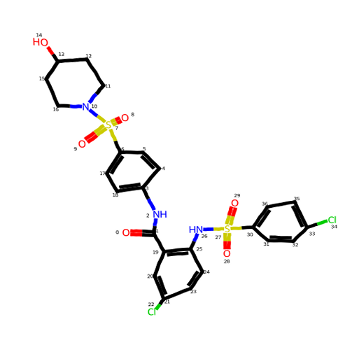 O=C(Nc1ccc(S(=O)(=O)N2CCC(O)CC2)cc1)c1cc(Cl)ccc1NS(=O)(=O)c1ccc(Cl)cc1